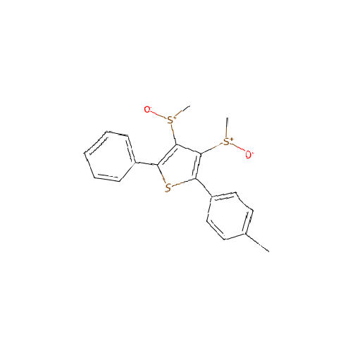 Cc1ccc(-c2sc(-c3ccccc3)c([S+](C)[O-])c2[S+](C)[O-])cc1